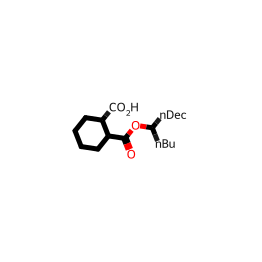 CCCCCCCCCCC(CCCC)OC(=O)C1CCCCC1C(=O)O